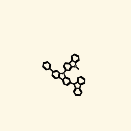 Cn1c2ccccc2c2ccc(-n3c4cc(-c5ccccc5)ccc4c4ccc(C5c6ccccc6-c6ccccc65)cc43)cc21